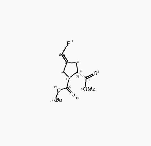 COC(=O)[C@H]1CC(=CF)CN1C(=O)OC(C)(C)C